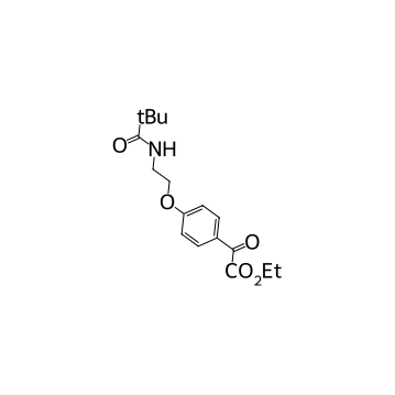 CCOC(=O)C(=O)c1ccc(OCCNC(=O)C(C)(C)C)cc1